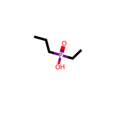 CCCP(=O)(O)CC